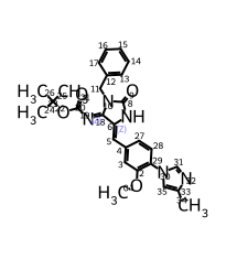 COc1cc(/C=C2\NC(=O)N(Cc3ccccc3)\C2=N/C(=O)OC(C)(C)C)ccc1-n1cnc(C)c1